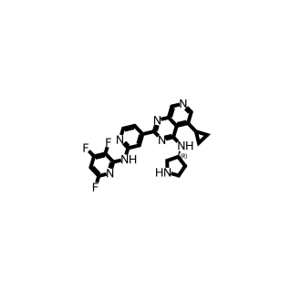 Fc1cc(F)c(F)c(Nc2cc(-c3nc(N[C@@H]4CCNC4)c4c(C5CC5)cncc4n3)ccn2)n1